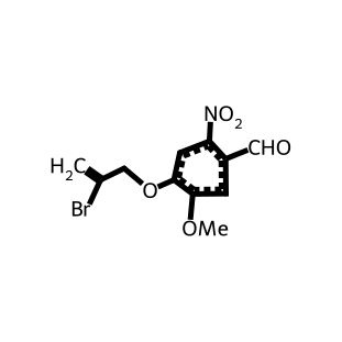 C=C(Br)COc1cc([N+](=O)[O-])c(C=O)cc1OC